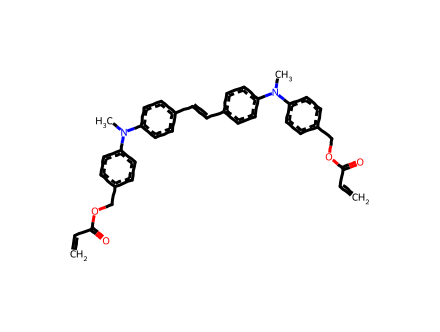 C=CC(=O)OCc1ccc(N(C)c2ccc(C=Cc3ccc(N(C)c4ccc(COC(=O)C=C)cc4)cc3)cc2)cc1